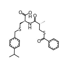 CC(C)c1ccc(CSC[C@H](NC(=O)[C@H](C)CSC(=O)c2ccccc2)C(=O)O)cc1